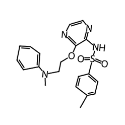 Cc1ccc(S(=O)(=O)Nc2nccnc2OCCN(C)c2ccccc2)cc1